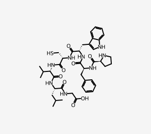 CC(C)C[C@H](NC(=O)[C@@H](NC(=O)[C@H](CS)NC(=O)[C@H](Cc1c[nH]c2ccccc12)NC(=O)[C@H](Cc1ccccc1)NC(=O)[C@@H]1CCCN1)C(C)C)C(=O)NCC(=O)O